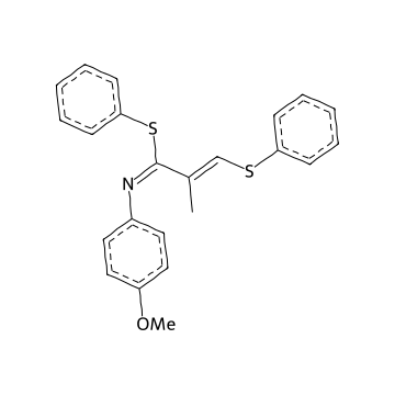 COc1ccc(/N=C(Sc2ccccc2)\C(C)=C\Sc2ccccc2)cc1